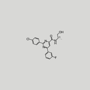 C[C@@H](CO)NC(=O)c1cc(-c2cccc(F)c2)nc(-c2ccc(Cl)cc2)n1